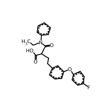 CCN(C(=O)C(CCc1cccc(Oc2ccc(F)cc2)c1)C(=O)O)c1ccccc1